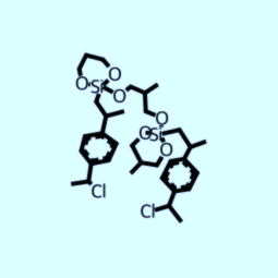 CC(CO[Si]1(CC(C)c2ccc(C(C)Cl)cc2)OCCCO1)CO[Si]1(CC(C)c2ccc(C(C)Cl)cc2)OCC(C)CO1